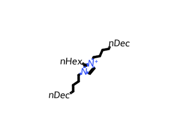 CCCCCCCCCCCCCCn1cc[n+](CCCCCCCCCCCCCC)c1CCCCCC